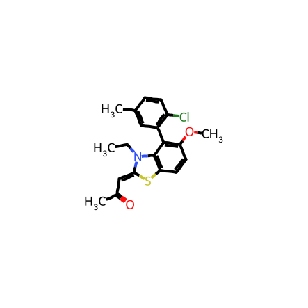 CCN1/C(=C/C(C)=O)Sc2ccc(OC)c(-c3cc(C)ccc3Cl)c21